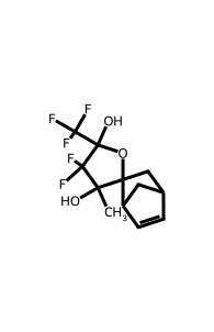 CC1(O)C2(CC3C=CC2C3)OC(O)(C(F)(F)F)C1(F)F